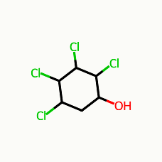 OC1CC(Cl)C(Cl)C(Cl)C1Cl